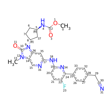 COC(=O)N[C@@H]1CC[C@@H](n2c(=O)n(C)c3cnc(Nc4ccc(F)c(-c5ccc(CC#N)cc5)n4)cc32)C1